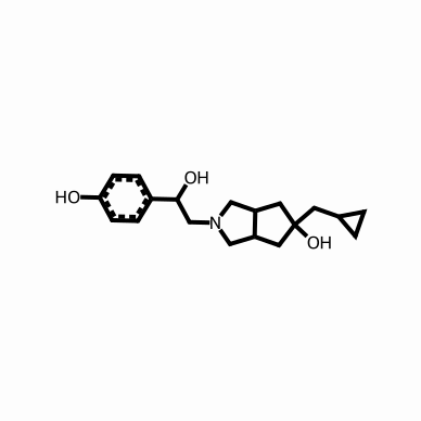 Oc1ccc(C(O)CN2CC3CC(O)(CC4CC4)CC3C2)cc1